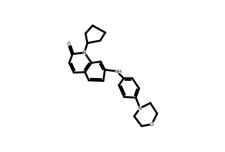 O=c1ccc2ccc(Nc3ccc(N4CCOCC4)cc3)cc2n1C1CCCC1